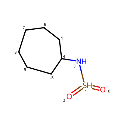 O=[SH](=O)NC1CCCCCC1